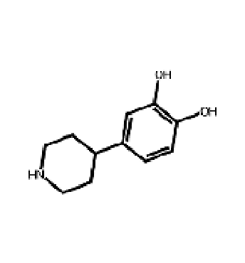 Oc1ccc(C2CCNCC2)cc1O